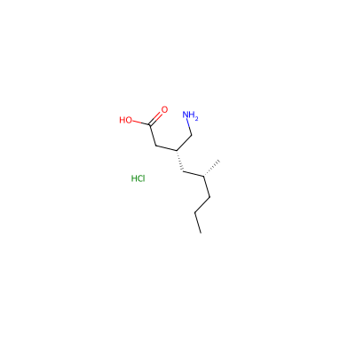 CCC[C@@H](C)C[C@@H](CN)CC(=O)O.Cl